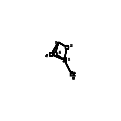 CC[Si]12OC(O1)O2